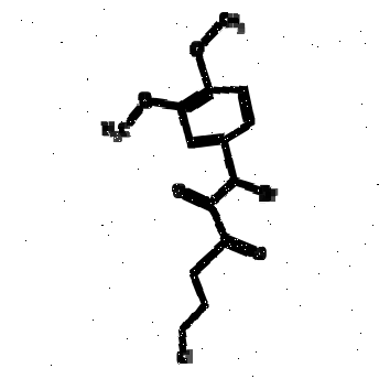 COc1ccc(C(Br)C(=O)C(=O)CCCCl)cc1OC